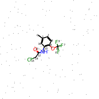 Cc1ccc(OC(F)(F)F)c(NC(=O)CCl)c1